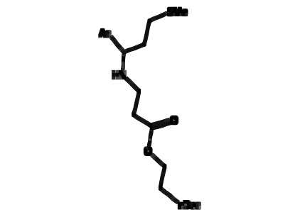 CCCCCCCCCCCCOC(=O)CCNC(CCSC)C(C)=O